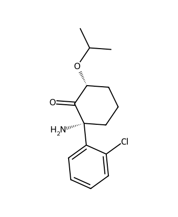 CC(C)O[C@@H]1CCC[C@@](N)(c2ccccc2Cl)C1=O